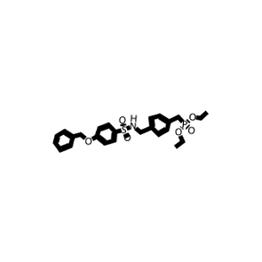 CCOP(=O)(Cc1ccc(CNS(=O)(=O)c2ccc(OCc3ccccc3)cc2)cc1)OCC